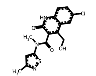 Cc1cc(N(C)C(=O)c2c(CO)c3cc(Cl)ccc3[nH]c2=O)sn1